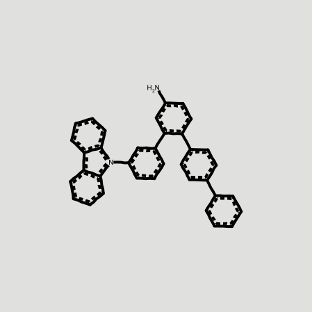 Nc1ccc(-c2ccc(-c3ccccc3)cc2)c(-c2cccc(-n3c4ccccc4c4ccccc43)c2)c1